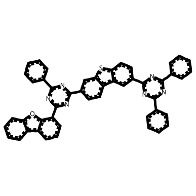 c1ccc(-c2nc(-c3ccccc3)nc(-c3ccc4sc5cc(-c6nc(-c7ccccc7)nc(-c7cccc8c7oc7ccccc78)n6)ccc5c4c3)n2)cc1